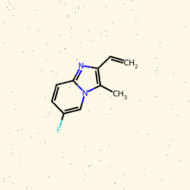 C=Cc1nc2ccc(F)cn2c1C